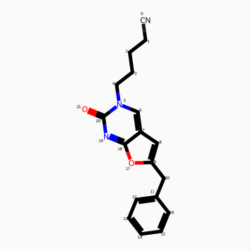 N#CCCCCn1cc2cc(Cc3ccccc3)oc2nc1=O